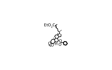 CCOC(=O)C(C)=CCC[C@@H](C)[C@H]1CCC2C3C(CC[C@@]21C)[C@@]1(C)CCC2(C[C@@H]1C[C@H]3OC(=O)c1ccccc1)OCCO2